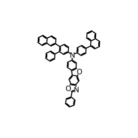 c1ccc(-c2nc3cc4oc5cc(N(c6ccc(-c7cccc8ccccc78)cc6)c6ccc(-c7ccc8ccccc8c7)c(-c7ccccc7)c6)ccc5c4cc3o2)cc1